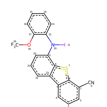 N#Cc1cccc2c1sc1c(N(I)c3ccccc3OC(F)(F)F)cccc12